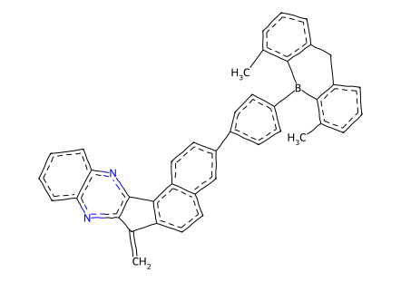 C=C1c2ccc3cc(-c4ccc(B5c6c(C)cccc6Cc6cccc(C)c65)cc4)ccc3c2-c2nc3ccccc3nc21